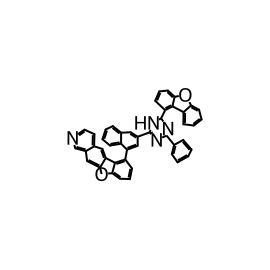 c1ccc(C2=NC(c3cccc4oc5ccccc5c34)NC(c3cc(-c4cccc5oc6cc7cnccc7cc6c45)c4ccccc4c3)=N2)cc1